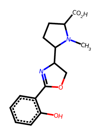 CN1C(C(=O)O)CCC1C1COC(c2ccccc2O)=N1